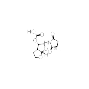 C[C@H]1CC(=O)NC1=O.O=C(O)OC1CO[C@H]2OCCC12